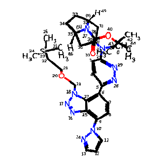 CN(c1ccc(-c2ccc(-n3cccn3)c3nnn(COCC[Si](C)(C)C)c23)nn1)[C@@H]1C[C@H]2CC[C@@H](C1)N2C(=O)OC(C)(C)C